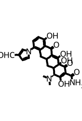 CN(C)[C@@H]1C(O)=C(C(N)=O)C(=O)C2(O)C(O)=C3C(=O)c4c(O)ccc(-n5ccc(C=O)c5)c4CC3CC12